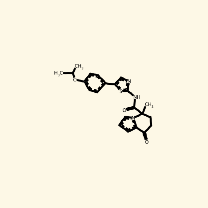 CC(C)Oc1ccc(-c2cnc(NC(=O)C3(C)CCC(=O)c4cccn43)s2)cc1